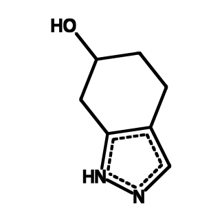 OC1CCc2cn[nH]c2C1